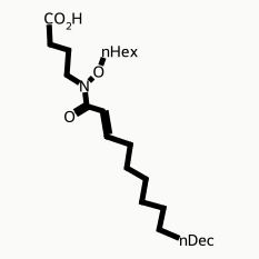 CCCCCCCCCCCCCCCC/C=C/C(=O)N(CCCC(=O)O)OCCCCCC